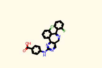 O=C(O)c1ccc(Nc2ncc3c(n2)-c2cccc(Cl)c2C(c2ccccc2F)=NC3)cc1